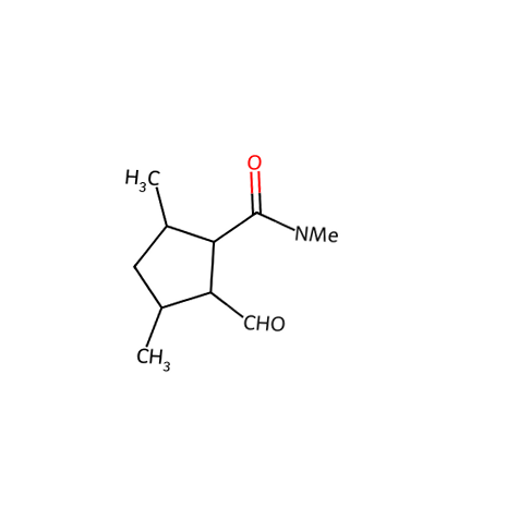 CNC(=O)C1C(C)CC(C)C1C=O